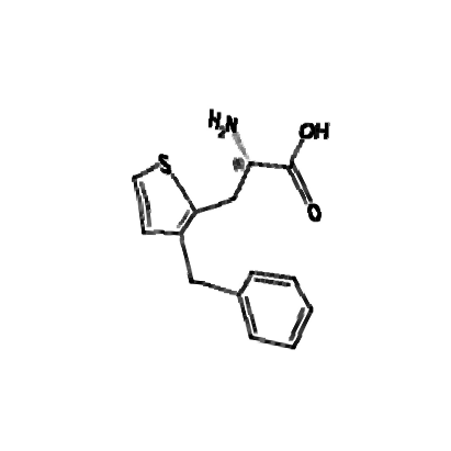 N[C@@H](Cc1sccc1Cc1ccccc1)C(=O)O